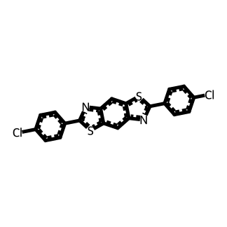 Clc1ccc(-c2nc3cc4sc(-c5ccc(Cl)cc5)nc4cc3s2)cc1